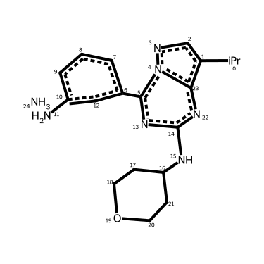 CC(C)c1cnn2c(-c3cccc(N)c3)nc(NC3CCOCC3)nc12.N